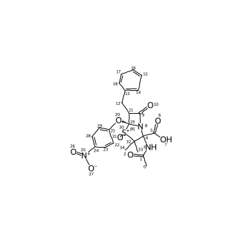 CC(=O)NC1(C(=O)O)N2C(=O)C(Cc3ccccc3)[C@@]2(Oc2ccc([N+](=O)[O-])cc2)[S+]([O-])C1(C)C